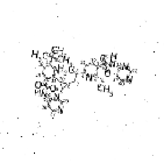 CCc1nc(C(C)CC2CC2c2nc(C(C)(C)C)ccc2S(=O)(=O)Nc2ccncn2)ccc1S(=O)(=O)Nc1ccncn1